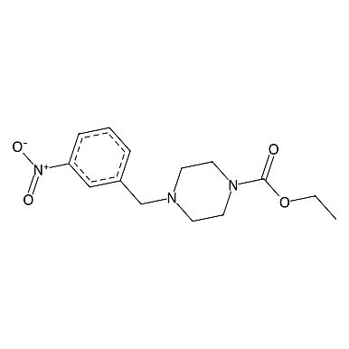 CCOC(=O)N1CCN(Cc2cccc([N+](=O)[O-])c2)CC1